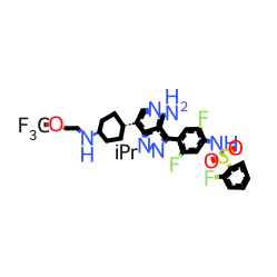 CC(C)n1nc(-c2cc(F)c(NS(=O)(=O)c3ccccc3F)cc2F)c2c(N)ncc([C@H]3CC[C@H](NCCOC(F)(F)F)CC3)c21